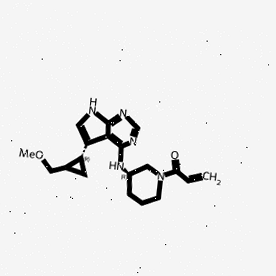 C=CC(=O)N1CCC[C@@H](Nc2ncnc3[nH]cc([C@@H]4CC4COC)c23)C1